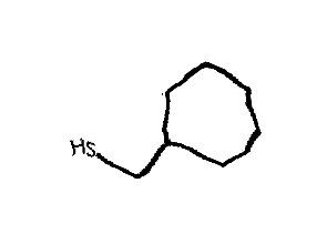 SCC1[CH]CCCC1